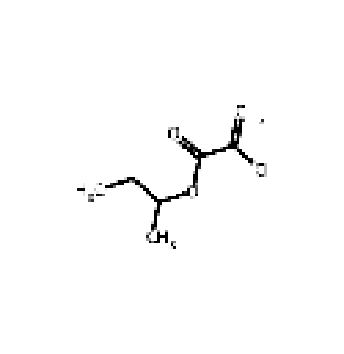 C=C(Cl)C(=O)OC(C)CC